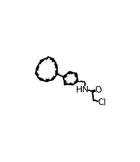 O=C(CCl)NCc1ccc(-c2ccccccccc2)cc1